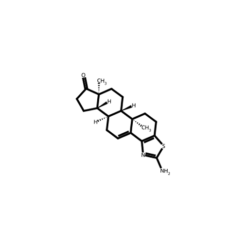 C[C@]12CCc3sc(N)nc3C1=CC[C@@H]1[C@@H]2CC[C@]2(C)C(=O)CC[C@@H]12